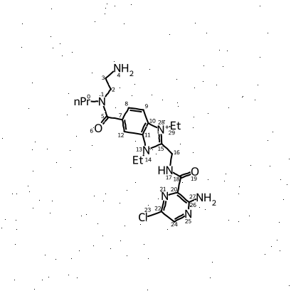 CCCN(CCN)C(=O)c1ccc2c(c1)n(CC)c(CNC(=O)c1nc(Cl)cnc1N)[n+]2CC